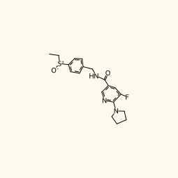 CC[S+]([O-])c1ccc(CNC(=O)c2cnc(N3CCCC3)c(F)c2)cc1